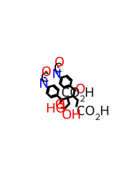 O=C=Nc1ccc(C(=O)C(CCC(=O)O)C(CC(O)O)(C(=O)O)C(=O)c2ccc(N=C=O)cc2)cc1